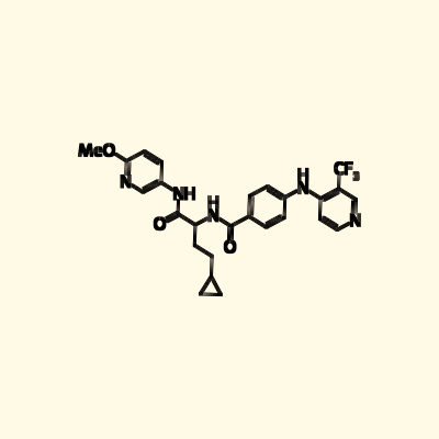 COc1ccc(NC(=O)C(CCC2CC2)NC(=O)c2ccc(Nc3ccncc3C(F)(F)F)cc2)cn1